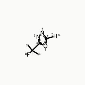 [2H]c1nnc(C(C)(C)F)o1